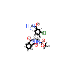 CC(C)(C)OC(=O)N[C@@H](Cc1ccc(C(N)=O)cc1Cl)CN1C(=O)c2ccccc2C1=O